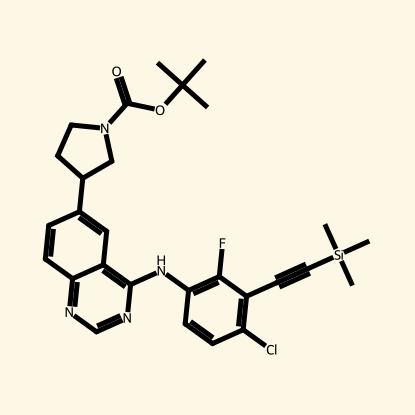 CC(C)(C)OC(=O)N1CCC(c2ccc3ncnc(Nc4ccc(Cl)c(C#C[Si](C)(C)C)c4F)c3c2)C1